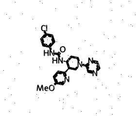 COc1ccc([C@@H]2CN(c3cnccn3)CC[C@H]2NC(=O)Nc2ccc(Cl)cc2)nc1